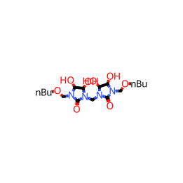 CCCCOCN1C(=O)N(CN2C(=O)N(COCCCC)C(O)C2O)C(O)C1O